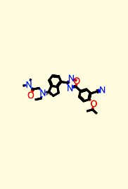 CCN(CC(=O)N(C)C)[C@@H]1CCc2c(-c3noc(-c4ccc(OC(C)C)c(C#N)c4)n3)cccc21